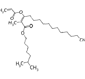 C=CC(=O)OC(CCCCCCCCCCCC)=C(C)C(=O)OCCCCCC(C)C